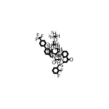 [2H]C([2H])([2H])OCC([2H])([2H])N1C([2H])([2H])C([2H])([2H])C([2H])(N(Cc2ccc(-c3ccc(C(F)(F)F)cc3)cc2)C(=O)C([2H])([2H])n2c(SCc3cccc(F)c3F)cc(=O)c3ccccc32)C([2H])([2H])C1([2H])[2H]